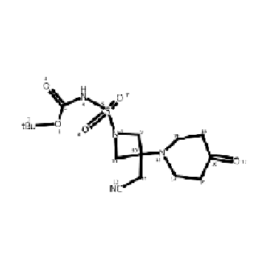 CC(C)(C)OC(=O)NS(=O)(=O)N1CC(CC#N)(N2CCC(=O)CC2)C1